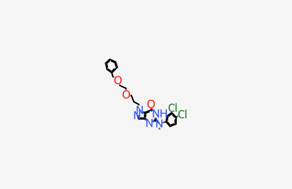 CN(c1ccc(Cl)c(Cl)c1)c1nc2cnn(CCCOCCOCc3ccccc3)c2c(=O)[nH]1